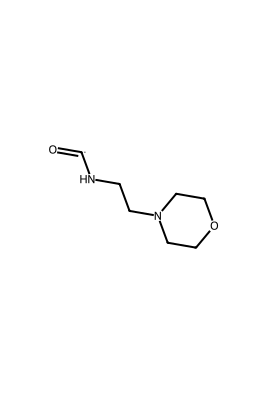 O=[C]NCCN1CCOCC1